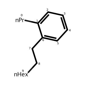 [CH2]CCc1ccccc1CCCCCCCC